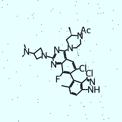 CC(=O)N1C[C@H](C)N(c2nc(N3CC(N(C)C)C3)nc3c(F)c(-c4c(C)ccc5[nH]nc(Cl)c45)c(Cl)cc23)C[C@H]1C